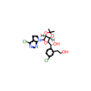 CC1(C)O[C@@H]2[C@@H]([C@H](O)c3ccc(Cl)cc3CCO)OC(n3ccc4c(Cl)ncnc43)[C@@H]2O1